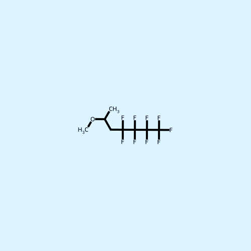 COC(C)CC(F)(F)C(F)(F)C(F)(F)C(F)(F)F